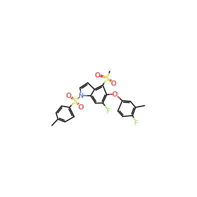 Cc1ccc(S(=O)(=O)n2ccc3c(S(C)(=O)=O)c(Oc4ccc(F)c(C)c4)c(F)cc32)cc1